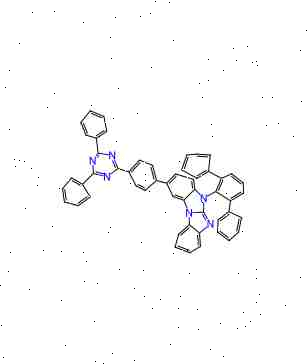 c1ccc(-c2nc(-c3ccccc3)nc(-c3ccc(-c4ccc5c(c4)n4c6ccccc6nc4n5-c4c(-c5ccccc5)cccc4-c4ccccc4)cc3)n2)cc1